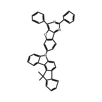 CC1(C)c2ccccc2-c2ccc3c(c21)c1ccccc1n3-c1ccc2c(c1)oc1c(-c3ccccc3)nc(-c3ccccc3)nc12